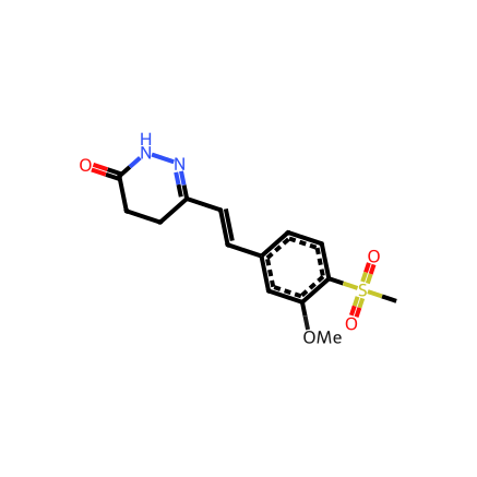 COc1cc(C=CC2=NNC(=O)CC2)ccc1S(C)(=O)=O